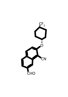 N#Cc1c(O[C@H]2CC[C@@H](C(F)(F)F)CC2)ccc2ccc(C=O)cc12